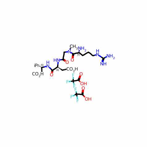 CC(C)[C@H](NC(=O)[C@H](CC(=O)O)NC(=O)CN(C)C(=O)[C@@H](N)CCCNC(=N)N)C(=O)O.O=C(O)C(F)(F)F.O=C(O)C(F)(F)F